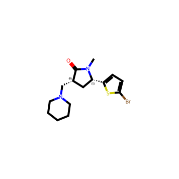 CN1C(=O)[C@@H](CN2CCCCC2)C[C@H]1c1ccc(Br)s1